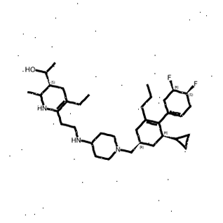 CCCC1=C(C2=CC[C@H](F)[C@H](F)C2)[C@@H](C2CC2)C[C@@H](CN2CCC(NCCC3=C(CC)C[C@H](C(C)O)C(C)N3)CC2)C1